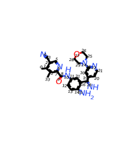 Cc1c(C#N)cnc(C(=O)Nc2ccc(N)c(C(=N)c3ccnc(N4CCOCC4)c3)c2)c1C